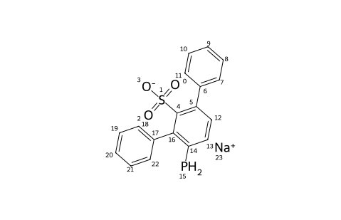 O=S(=O)([O-])c1c(-c2ccccc2)ccc(P)c1-c1ccccc1.[Na+]